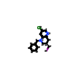 Clc1cnc2c(c1)N(Cc1ccccc1)C[C@@H](CI)C2